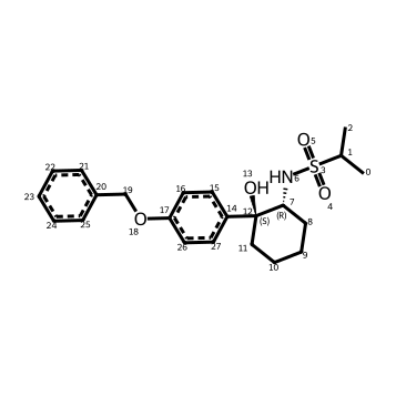 CC(C)S(=O)(=O)N[C@@H]1CCCC[C@]1(O)c1ccc(OCc2ccccc2)cc1